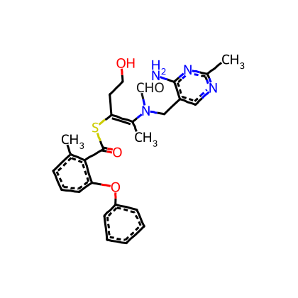 CC(=C(CCO)SC(=O)c1c(C)cccc1Oc1ccccc1)N(C=O)Cc1cnc(C)nc1N